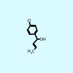 CC=CC(O)c1ccc(Cl)cc1